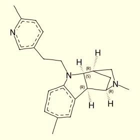 Cc1ccc2c(c1)[C@H]1[C@H]([C@@H]3C[C@H]1N(C)C3)N2CCc1ccc(C)nc1